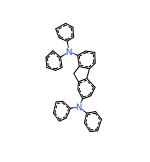 c1ccc(N(c2ccccc2)c2ccc3c(c2)Cc2c-3cccc2N(c2ccccc2)c2ccccc2)cc1